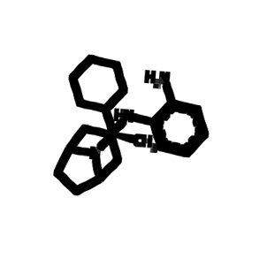 C[C@H](C1CCCCC1)N1C2CCC1CC(Nc1ccccc1N)C2